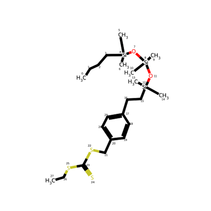 CCCC[Si](C)(C)O[Si](C)(C)O[Si](C)(C)CCc1ccc(CSC(=S)SCC)cc1